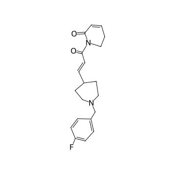 O=C1C=CCCN1C(=O)C=CC1CCN(Cc2ccc(F)cc2)CC1